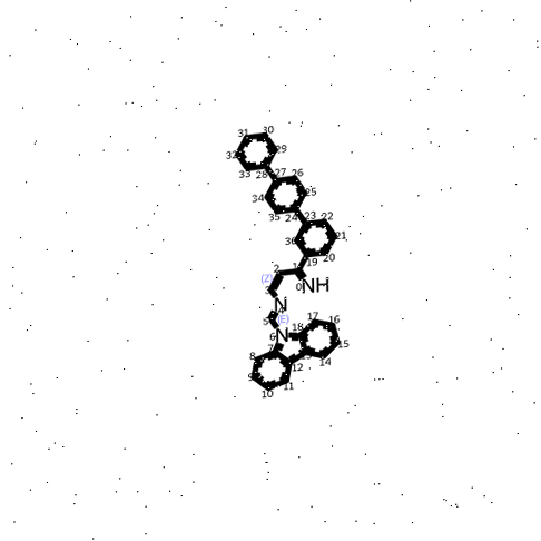 N=C(/C=C\N=C\n1c2ccccc2c2ccccc21)c1cccc(-c2ccc(-c3ccccc3)cc2)c1